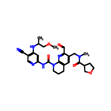 COCC(C)Nc1cc(NC(=O)N2CCCc3cc(CN(C)C(=O)C4CCOC4)c(C=O)nc32)ncc1C#N